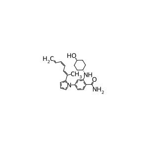 C=C/C=C\C=C(/C)c1cccn1-c1ccc(C(N)=O)c(N[C@H]2CC[C@H](O)CC2)c1